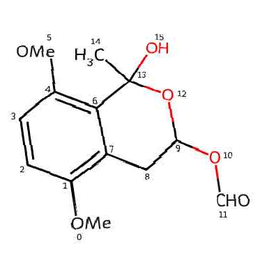 COc1ccc(OC)c2c1CC(OC=O)OC2(C)O